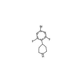 Fc1cc(Br)cc(F)c1C1CCNCC1